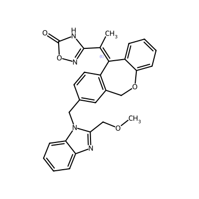 COCc1nc2ccccc2n1Cc1ccc2c(c1)COc1ccccc1/C2=C(\C)c1noc(=O)[nH]1